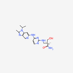 Cc1nc2cnc(Nc3ccnc(NC[C@@](C)(CO)C(N)=O)n3)cc2n1C(C)C